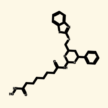 O=C(CCCCCCC(=O)NC1OC(CSc2nc3ccccc3s2)CC(c2ccccc2)O1)NO